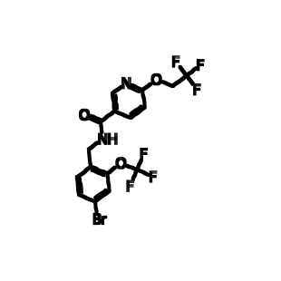 O=C(NCc1ccc(Br)cc1OC(F)(F)F)c1ccc(OCC(F)(F)F)nc1